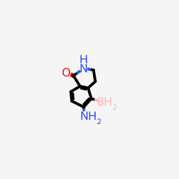 Bc1c(N)ccc2c1CCNC2=O